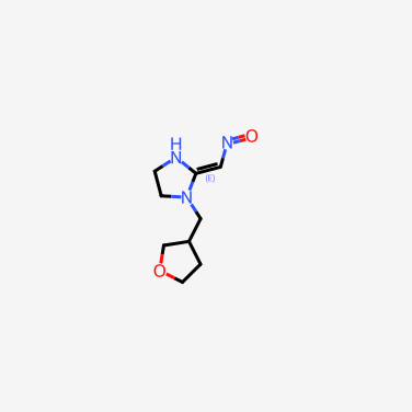 O=N/C=C1\NCCN1CC1CCOC1